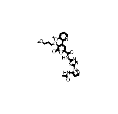 COCCCOc1c(-c2ncccc2OC)cc(C(=O)Nc2nnc(-n3nccc3NC(C)=O)s2)oc1=O